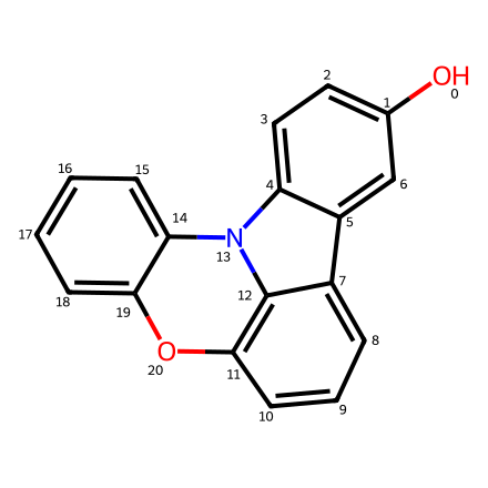 Oc1ccc2c(c1)c1cccc3c1n2-c1ccccc1O3